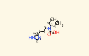 CCC(CC)N(CCCc1c[nH]cn1)C(=O)O